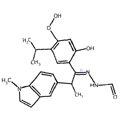 CC(C)c1cc(/C(=N/NC=O)C(C)c2ccc3c(ccn3C)c2)c(O)cc1OO